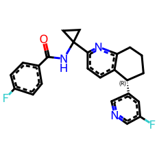 O=C(NC1(c2ccc3c(n2)CCC[C@@H]3c2cncc(F)c2)CC1)c1ccc(F)cc1